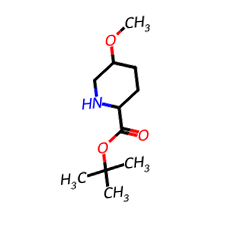 COC1CCC(C(=O)OC(C)(C)C)NC1